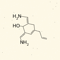 C=CCC1=C/C(=C\N)C(O)/C(=C\N)C1